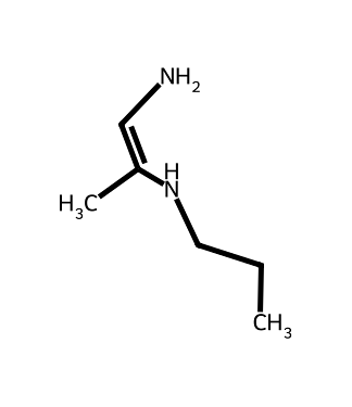 CCCN/C(C)=C\N